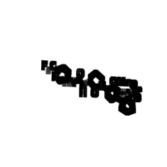 COc1cc(-c2ccccc2NS(C)(=O)=O)ccc1N1CCC[C@@H](NC(=O)Nc2ccc(C(F)(F)F)nc2)C1=O